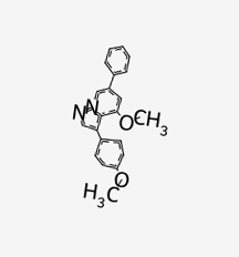 COc1ccc(-c2cnn3cc(-c4ccccc4)cc(OC)c23)cc1